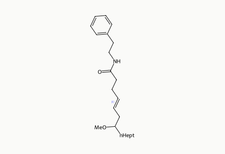 CCCCCCCC(C/C=C/CCC(=O)NCCc1ccccc1)OC